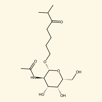 CC(=O)N[C@H]1[C@H](OCCCCC(=O)C(C)C)O[C@H](CO)[C@H](O)[C@@H]1O